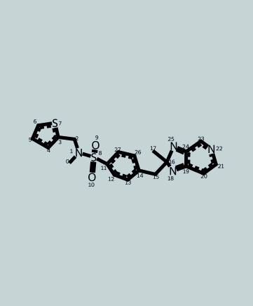 CN(Cc1cccs1)S(=O)(=O)c1ccc(CC2(C)N=c3ccncc3=N2)cc1